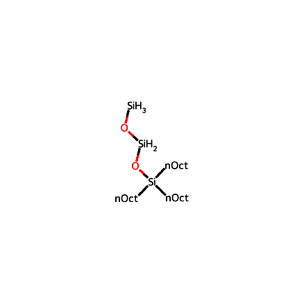 CCCCCCCC[Si](CCCCCCCC)(CCCCCCCC)O[SiH2]O[SiH3]